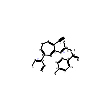 C#CC1=CCC=C(/C(C=C)=C/C)C=C1/C=C(\C)NC(=C)c1ccc(C)cc1